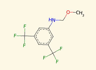 COCNc1cc(C(F)(F)F)cc(C(F)(F)F)c1